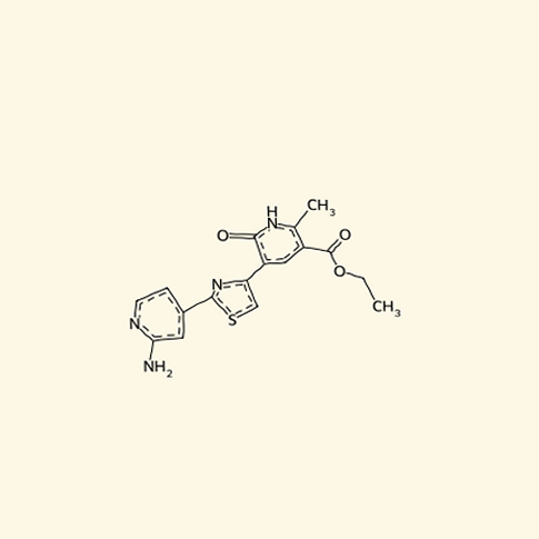 CCOC(=O)c1cc(-c2csc(-c3ccnc(N)c3)n2)c(=O)[nH]c1C